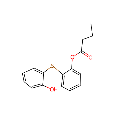 CCCC(=O)Oc1ccccc1Sc1ccccc1O